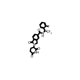 O=C1CCC(N2Cc3cc(C(=O)N[C@@H](c4ccccc4F)C(F)(F)F)ccc3C2=O)C(=O)N1